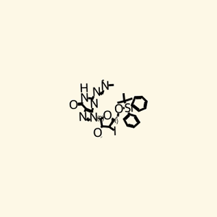 COC1C(I)[C@@H](CO[Si](c2ccccc2)(c2ccccc2)C(C)(C)C)O[C@H]1n1cnc2c(=O)[nH]c(N=CN(C)C)nc21